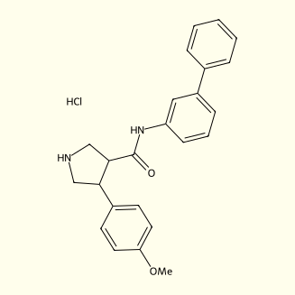 COc1ccc(C2CNCC2C(=O)Nc2cccc(-c3ccccc3)c2)cc1.Cl